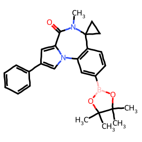 CN1C(=O)c2cc(-c3ccccc3)cn2-c2cc(B3OC(C)(C)C(C)(C)O3)ccc2C12CC2